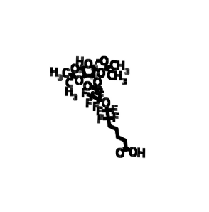 CC1(C)OC2[C@@H](O1)O[C@]1(COC(C)(C)O1)[C@@H]2OS(=O)(=O)C(F)(F)C(F)(F)OC(F)(F)C(F)(F)CCCCC(=O)O